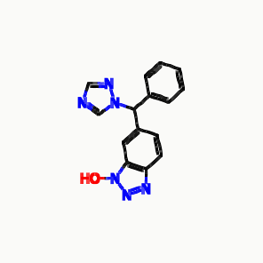 On1nnc2ccc(C(c3ccccc3)n3cncn3)cc21